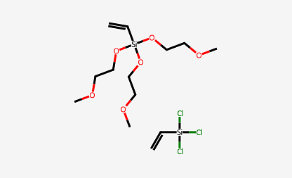 C=C[Si](Cl)(Cl)Cl.C=C[Si](OCCOC)(OCCOC)OCCOC